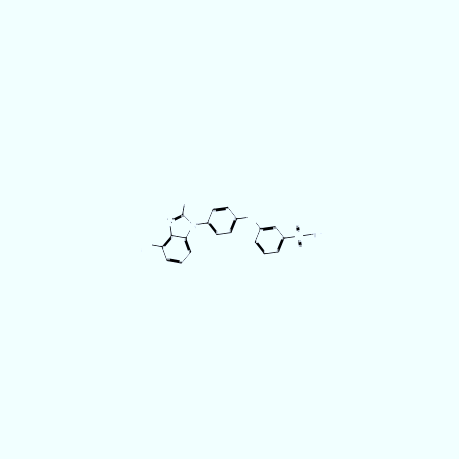 CC(C)S(=O)(=O)c1cccc(Oc2ccc(-n3c(C(F)(F)F)nc4c(C(F)(F)F)cccc43)cc2)c1